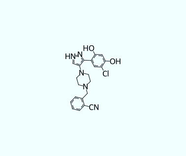 N#Cc1ccccc1CN1CCN(c2c[nH]nc2-c2cc(Cl)c(O)cc2O)CC1